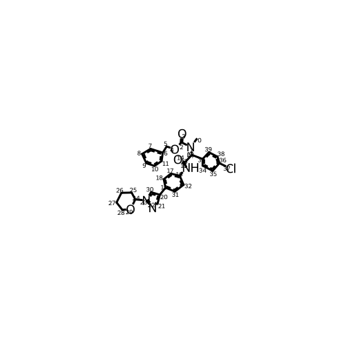 CN(C(=O)OCc1ccccc1)[C@H](C(=O)Nc1ccc(-c2cnn(C3CCCCO3)c2)cc1)c1ccc(Cl)cc1